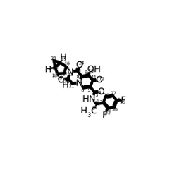 C[C@@H](NC(=O)c1cn2c(c(O)c1=O)C(=O)N1C3CC(O[C@H]1C2)[C@@H]1C[C@H]31)c1ccc(F)cc1F